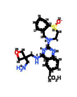 NCC1(CNc2nc(N3CC[S+]([O-])c4ccccc4C3)nc3ccc(C(=O)O)cc23)COC1